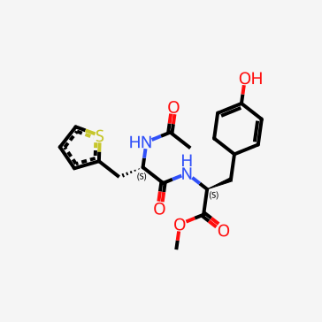 COC(=O)[C@H](CC1C=CC(O)=CC1)NC(=O)[C@H](Cc1cccs1)NC(C)=O